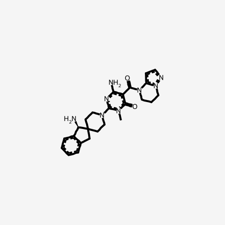 Cn1c(N2CCC3(CC2)Cc2ccccc2[C@H]3N)nc(N)c(C(=O)N2CCCn3nccc32)c1=O